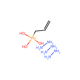 C=CC[PH](O)(O)O.NN.NN.NN